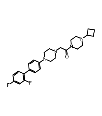 O=C(CN1CCN(c2ccc(-c3ccc(F)cc3F)cc2)CC1)N1CCN(C2CCC2)CC1